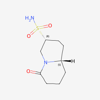 NS(=O)(=O)[C@@H]1CC[C@@H]2CCCC(=O)N2C1